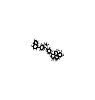 Cc1nc2cc(-c3cccc4ccccc34)ccc2n1-c1ccc(-c2ccc3ccc4cccc5ccc2c3c45)cc1